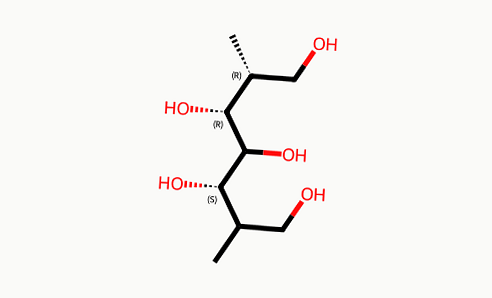 CC(CO)[C@H](O)C(O)[C@H](O)[C@H](C)CO